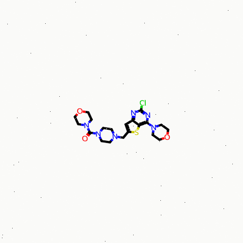 O=C(N1CCOCC1)N1CCN(Cc2cc3nc(Cl)nc(N4CCOCC4)c3s2)CC1